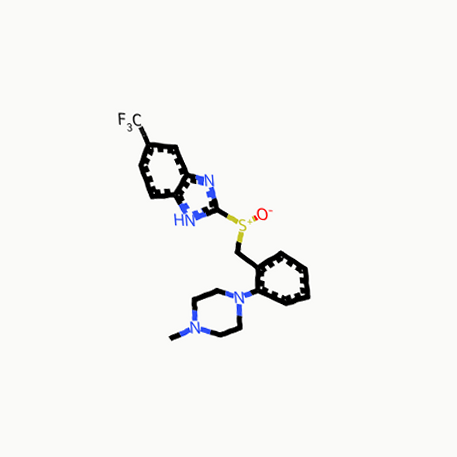 CN1CCN(c2ccccc2C[S+]([O-])c2nc3cc(C(F)(F)F)ccc3[nH]2)CC1